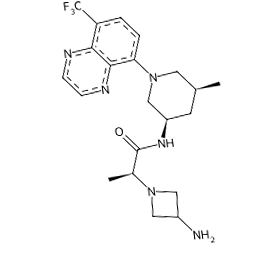 C[C@H]1C[C@@H](NC(=O)[C@H](C)N2CC(N)C2)CN(c2ccc(C(F)(F)F)c3nccnc23)C1